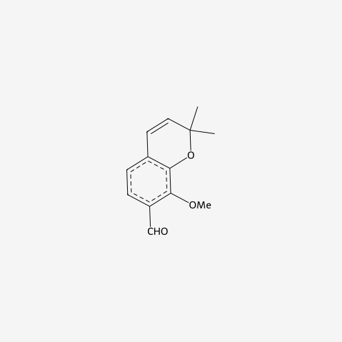 COc1c(C=O)ccc2c1OC(C)(C)C=C2